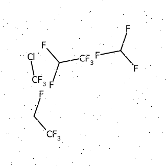 FC(F)(F)Cl.FC(F)C(F)(F)F.FC(F)F.FCC(F)(F)F